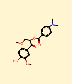 COCC(OC(=O)c1ccc(N(C)C)cc1)C(=O)c1ccc(O)c(OC)c1